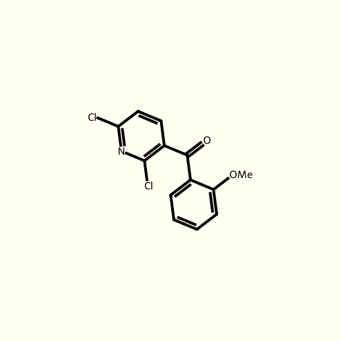 COc1ccccc1C(=O)c1ccc(Cl)nc1Cl